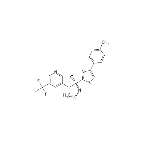 CN=S(=O)(c1nc(-c2ccc(C)cc2)cs1)C(C)c1cncc(C(F)(F)F)c1